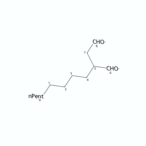 CCCCCCCCCC([C]=O)C[C]=O